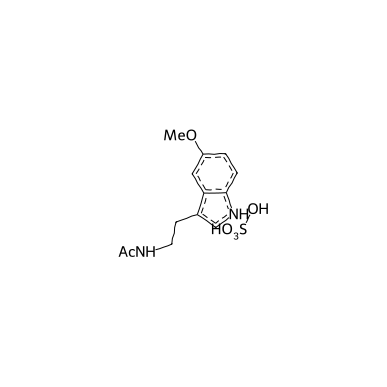 COc1ccc2[nH]cc(CCNC(C)=O)c2c1.O=S(=O)(O)O